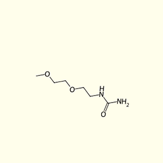 COCCOCCNC(N)=O